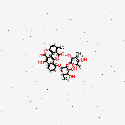 CCc1ccc2oc(=O)c3c(O)c4cccc(O[C@@H]5OC(C)[C@H](O)[C@H](O)C5O[C@H]5OC(C)[C@H](O)C(C)[C@H]5O)c4c4oc(=O)c1c2c34